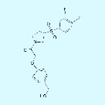 O=C(COc1ccc(CO)cc1)N1CCC(S(=O)(=O)c2ccc(F)c(F)c2)C1